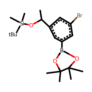 CC(O[Si](C)(C)C(C)(C)C)c1cc(Br)cc(B2OC(C)(C)C(C)(C)O2)c1